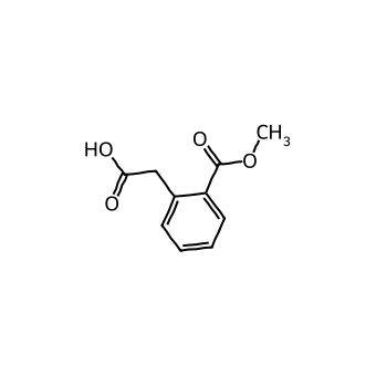 COC(=O)c1ccccc1CC(=O)O